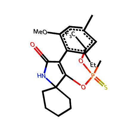 CCc1cc(C)cc(OC)c1C1=C(OP(C)(=S)OCC(F)(F)F)C2(CCCCC2)NC1=O